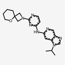 CC(C)n1cnc2cnc(Nc3ccnc(N4CC5(CCCCO5)C4)n3)cc21